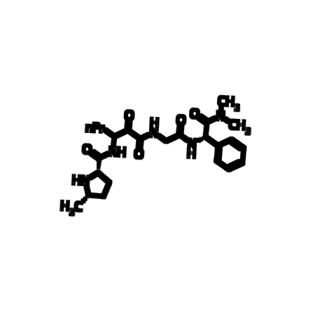 CCCC(NC(=O)[C@@H]1CC[C@H](C)N1)C(=O)C(=O)NCC(=O)N[C@H](C(=O)N(C)C)c1ccccc1